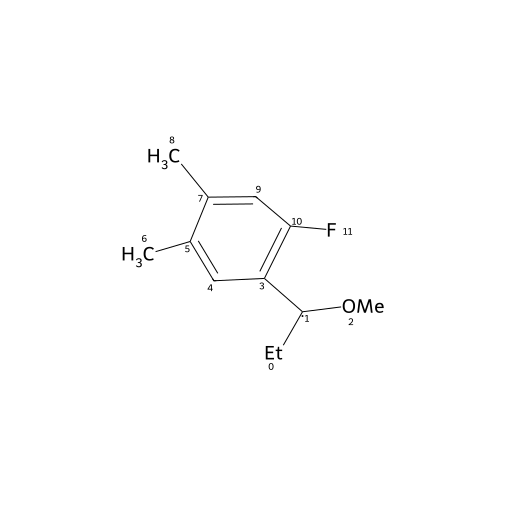 CC[C](OC)c1cc(C)c(C)cc1F